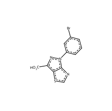 O=C(O)c1nn(-c2cccc(Br)c2)c2ncsc12